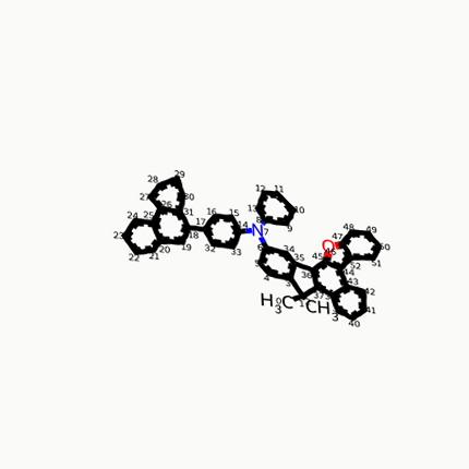 CC1(C)c2ccc(N(c3ccccc3)c3ccc(-c4cc5ccccc5c5ccccc45)cc3)cc2-c2c1c1ccccc1c1c2oc2ccccc21